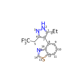 CCc1[nH]nc(CC(F)(F)F)c1-c1cccc2scnc12